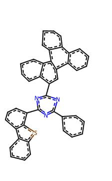 c1ccc(-c2nc(-c3cc4c5ccccc5c5ccccc5c4c4ccccc34)nc(-c3cccc4c3sc3ccccc34)n2)cc1